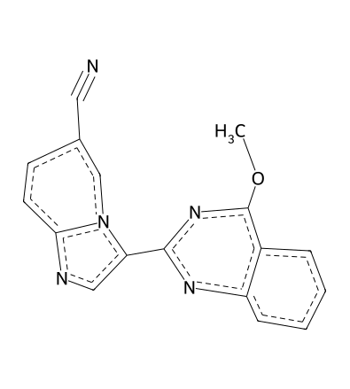 COc1nc(-c2cnc3ccc(C#N)cn23)nc2ccccc12